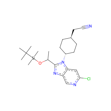 CC(O[Si](C)(C)C(C)(C)C)c1nc2cnc(Cl)cc2n1[C@H]1CC[C@H](CC#N)CC1